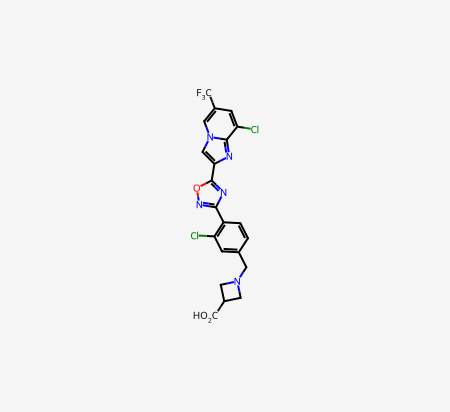 O=C(O)C1CN(Cc2ccc(-c3noc(-c4cn5cc(C(F)(F)F)cc(Cl)c5n4)n3)c(Cl)c2)C1